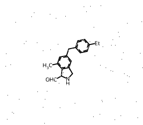 CCc1ccc(Cc2cc(C)c3c(c2)CNC3C=O)cc1